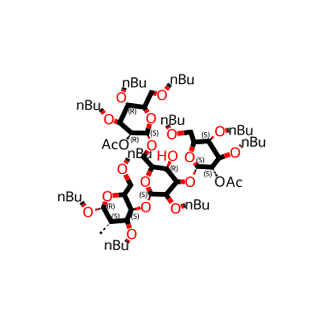 CCCCOCC1O[C@H](OCC2O[C@@H](O[C@@H]3C(COCCCC)O[C@@H](OCCCC)[C@@H](C)C3OCCCC)C(OCCCC)C(O[C@@H]3OC(COCCCC)[C@H](OCCCC)C(OCCCC)[C@@H]3OC(C)=O)[C@@H]2O)[C@H](OC(C)=O)C(OCCCC)[C@@H]1OCCCC